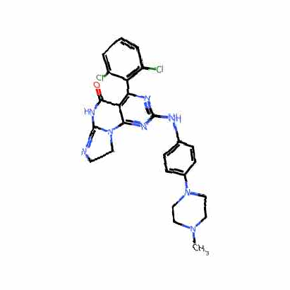 CN1CCN(c2ccc(Nc3nc(-c4c(Cl)cccc4Cl)c4c(n3)N3CCN=C3NC4=O)cc2)CC1